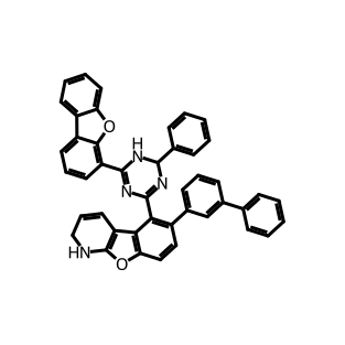 C1=Cc2c(oc3ccc(-c4cccc(-c5ccccc5)c4)c(C4=NC(c5ccccc5)NC(c5cccc6c5oc5ccccc56)=N4)c23)NC1